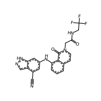 N#Cc1cc(Nc2cccc3ccn(CC(=O)NCC(F)(F)F)c(=O)c23)cc2[nH]ncc12